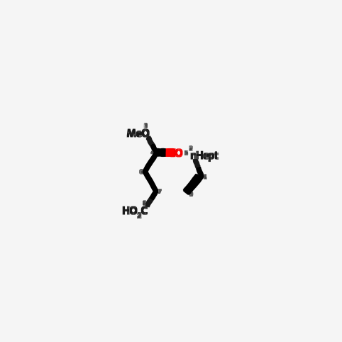 C=CCCCCCCC.COC(=O)CCC(=O)O